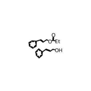 CCC(=O)OCC=Cc1ccccc1.OCC=Cc1ccccc1